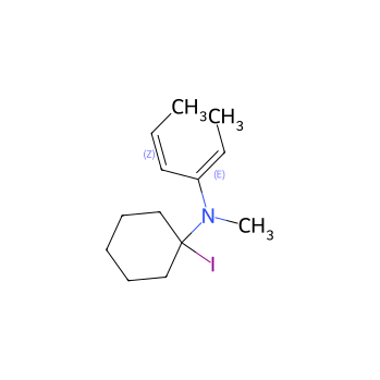 C/C=C\C(=C/C)N(C)C1(I)CCCCC1